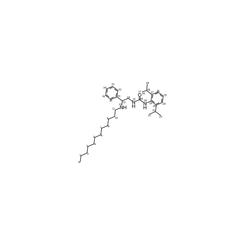 CCCCCCCCCCCCNC(CNC(=O)Nc1c(C(C)C)cccc1C(C)C)c1ccccc1